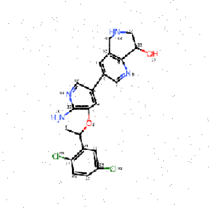 CC(Oc1cc(-c2cnc3c(c2)CNCC3O)cnc1N)c1cc(Cl)ccc1Cl